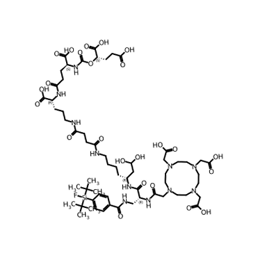 CC(C)(C)[Si](F)(c1ccc(C(=O)NC[C@@H](NC(=O)CN2CCN(CC(=O)O)CCN(CC(=O)O)CCN(CC(=O)O)CC2)C(=O)N[C@H](CCCCNC(=O)CCC(=O)NCCC[C@@H](NC(=O)CC[C@H](NC(=O)O[C@@H](CCC(=O)O)C(=O)O)C(=O)O)C(=O)O)CC(O)O)cc1)C(C)(C)C